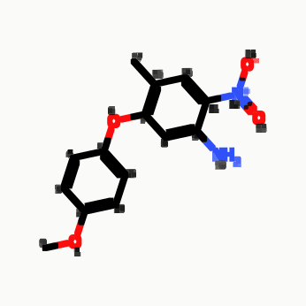 COc1ccc(Oc2cc(N)c([N+](=O)[O-])cc2C)cc1